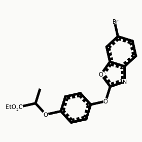 CCOC(=O)C(C)Oc1ccc(Oc2nc3ccc(Br)cc3o2)cc1